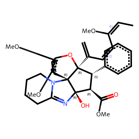 C=C(/C=C\C(=C/C)OC)[C@@]12Oc3cc(OC)cc(OC)c3[C@@]13N1CCCCC1=N[C@@]3(O)[C@H](C(=O)OC)[C@H]2c1ccccc1